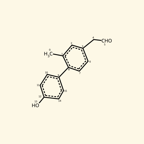 Cc1cc(CC=O)ccc1-c1ccc(O)cc1